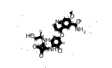 COc1cc2nccc(Oc3ccc(Nc4c(N[C@H](C)CO)c(=O)c4=O)c(Cl)c3)c2cc1C(N)=O